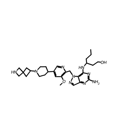 CCCC(CCO)Nc1nc(N)nc2cnn(Cc3ncc(C4CCN(C5CC6(CNC6)C5)CC4)cc3OC)c12